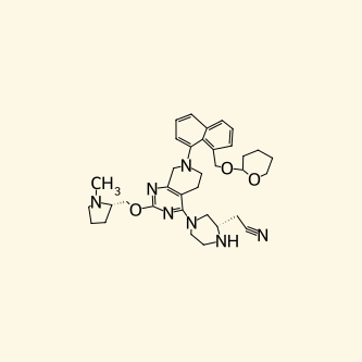 CN1CCC[C@H]1COc1nc2c(c(N3CCN[C@@H](CC#N)C3)n1)CCN(c1cccc3cccc(COC4CCCCO4)c13)C2